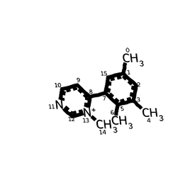 Cc1cc(C)c(C)c(-c2ccnc[n+]2C)c1